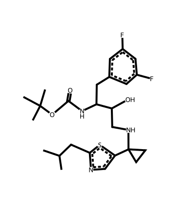 CC(C)Cc1ncc(C2(NCC(O)C(Cc3cc(F)cc(F)c3)NC(=O)OC(C)(C)C)CC2)s1